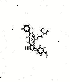 CCN(CC)CCCS(=O)(=O)N(CCc1ccccc1)Cc1nc(-c2ccc(OC)cc2)n[nH]1